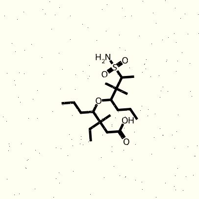 CCCC(OC(CCC)C(C)(C)C(C)S(N)(=O)=O)C(C)(CC)CC(=O)O